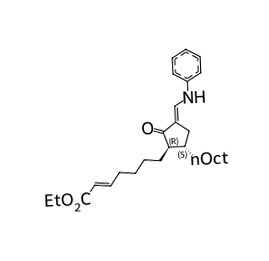 CCCCCCCC[C@H]1CC(=CNc2ccccc2)C(=O)[C@@H]1CCCCC=CC(=O)OCC